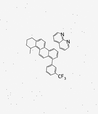 CC1CCCc2ccc3c(ccc4c(-c5cccc(C(F)(F)F)c5)cccc43)c21.c1cnc2ncccc2c1